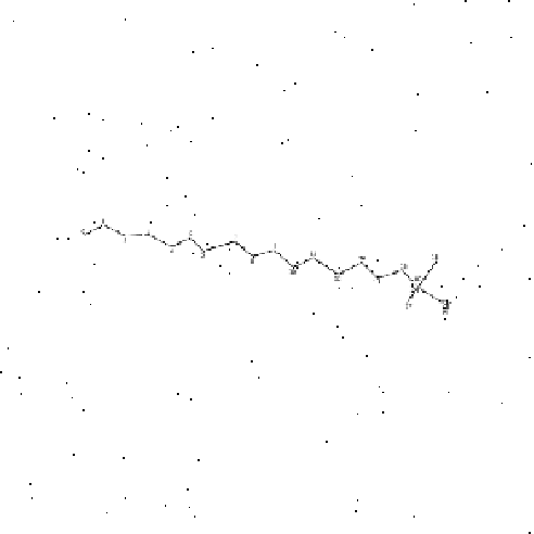 CCCCCCCCCCCCCCCC[Si](C)(C)Br